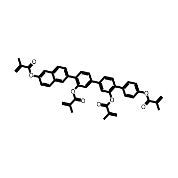 C=C(C)C(=O)Oc1ccc(-c2ccc(-c3ccc(-c4ccc5cc(OC(=O)C(=C)C)ccc5c4)c(OC(=O)C(=C)C)c3)cc2OC(=O)C(=C)C)cc1